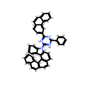 c1ccc(-c2nc(-c3ccc4ccc5ccccc5c4c3)nc(-n3c4ccccc4c4c5c(ccc6ccc7ccccc7c65)ccc43)n2)cc1